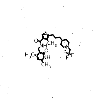 Cc1cc(C)c(CNC(=O)c2csc(CCCC3CCN(CC(F)(F)F)CC3)c2C)c(=O)[nH]1